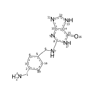 NCc1ccc(CNc2nc3nc[nH]c3c(=O)[nH]2)cc1